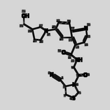 N#CC1CSCN1C(=O)CNC(=O)c1ccnc2ccc(N3CCC(CO)C3)cc12